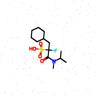 CC(C)N(C)C(=O)C(F)(CC1CCCCC1)S(=O)(=O)O